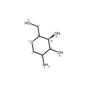 NC1COC(CO)[C@@H](O)C1O